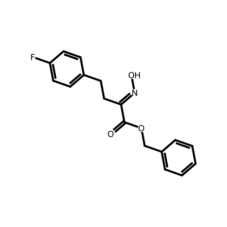 O=C(OCc1ccccc1)C(CCc1ccc(F)cc1)=NO